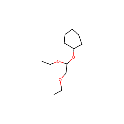 [CH2]COCC(OCC)OC1CCCCC1